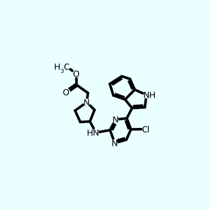 COC(=O)CN1CCC(Nc2ncc(Cl)c(-c3c[nH]c4ccccc34)n2)C1